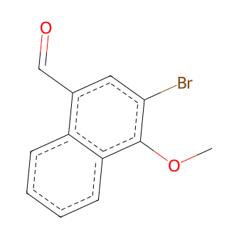 COc1c(Br)cc(C=O)c2ccccc12